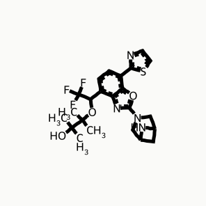 CC(C)(O)C(C)(C)OC(c1ccc(-c2nccs2)c2oc(N3CC4CC(C3)N4)nc12)C(F)(F)F